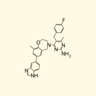 Cc1cc(-c2ccc3[nH]cnc3c2)cc2c1OCCN(c1nc(N)nc(C)c1Cc1ccc(F)cc1)C2